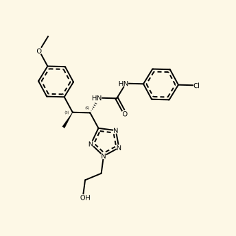 COc1ccc([C@H](C)[C@H](NC(=O)Nc2ccc(Cl)cc2)c2nnn(CCO)n2)cc1